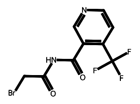 O=C(CBr)NC(=O)c1cnccc1C(F)(F)F